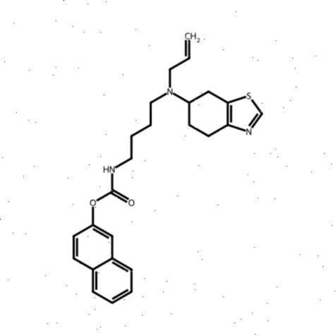 C=CCN(CCCCNC(=O)Oc1ccc2ccccc2c1)C1CCc2ncsc2C1